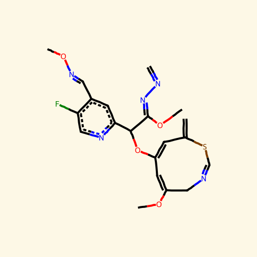 C=N/N=C(\OC)C(OC1=C/C(=C)S/C=N\C/C(OC)=C\1)c1cc(/C=N/OC)c(F)cn1